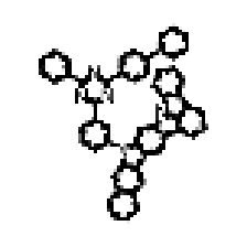 c1ccc(-c2ccc(-c3nc(-c4ccccc4)nc(-c4cccc(-n5c6cc7ccccc7cc6c6cc7c8cccc9c%10ccccc%10n(c7cc65)c98)c4)n3)cc2)cc1